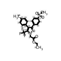 CCOC(=O)Cn1nc(-c2ccc(S(C)(=O)=O)cc2)c(-c2ccc(C)cc2)c1C(F)(F)F